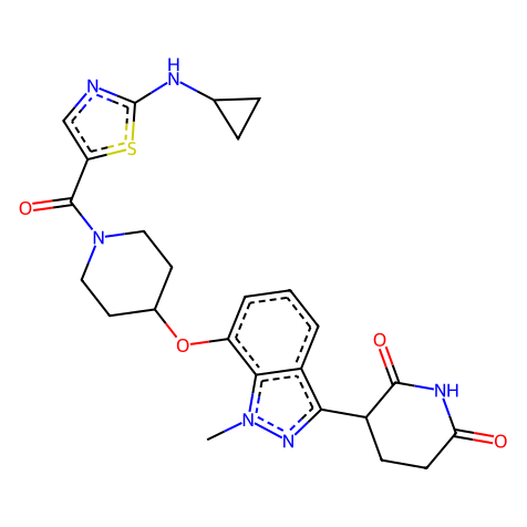 Cn1nc(C2CCC(=O)NC2=O)c2cccc(OC3CCN(C(=O)c4cnc(NC5CC5)s4)CC3)c21